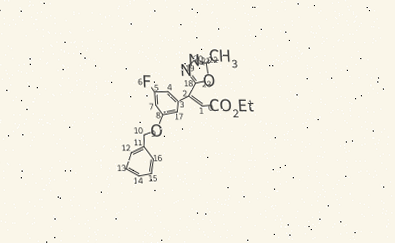 CCOC(=O)C=C(c1cc(F)cc(OCc2ccccc2)c1)c1nnc(C)o1